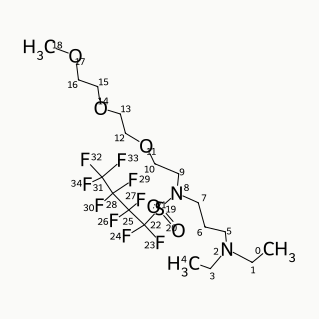 CCN(CC)CCCN(CCOCCOCCOC)S(=O)(=O)C(F)(F)C(F)(F)C(F)(F)C(F)(F)F